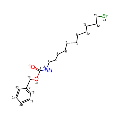 O=C(NCCCCCCCCCCCBr)OCc1ccccc1